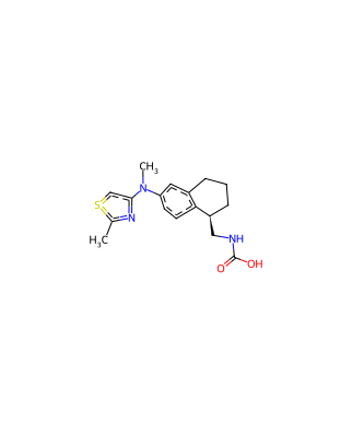 Cc1nc(N(C)c2ccc3c(c2)CCC[C@H]3CNC(=O)O)cs1